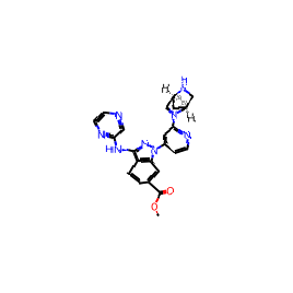 COC(=O)c1ccc2c(Nc3cnccn3)nn(-c3ccnc(N4C[C@@H]5C[C@H]4CN5)c3)c2c1